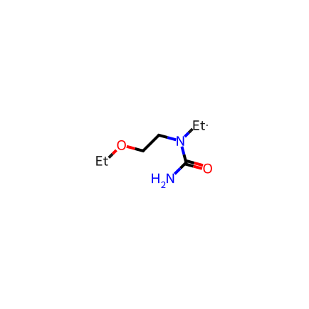 C[CH]N(CCOCC)C(N)=O